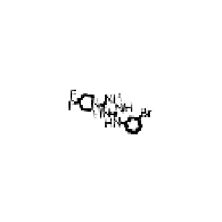 N=C(NC(=N)N1CCC(F)(F)CC1)Nc1cccc(Br)c1